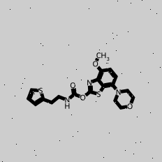 COc1ccc(N2CCOCC2)c2sc(OC(=O)NCCc3cccs3)nc12